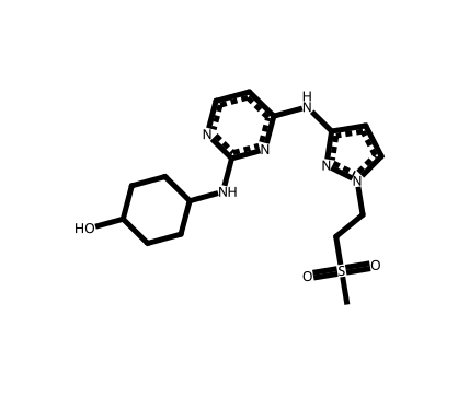 CS(=O)(=O)CCn1ccc(Nc2ccnc(NC3CCC(O)CC3)n2)n1